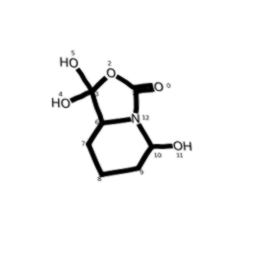 O=C1OC(O)(O)C2CCCC(O)N12